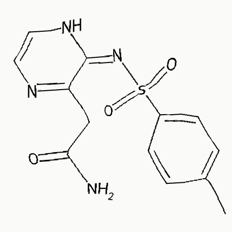 Cc1ccc(S(=O)(=O)/N=c2/[nH]ccnc2CC(N)=O)cc1